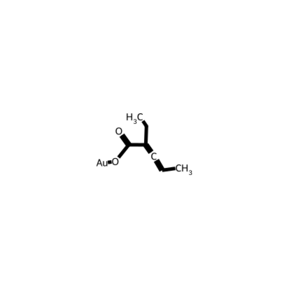 CC=C=C(CC)C(=O)[O][Au]